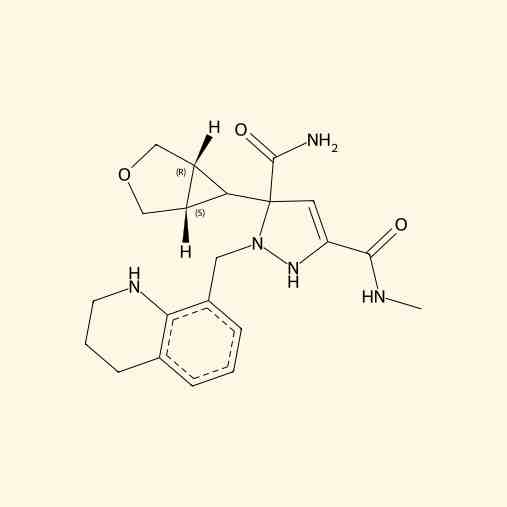 CNC(=O)C1=CC(C(N)=O)(C2[C@H]3COC[C@@H]23)N(Cc2cccc3c2NCCC3)N1